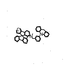 CN(Cc1cccc(N2c3ccccc3Cc3ccccc32)c1)Cc1cccc2c1C1(c3ccccc3-c3ccccc31)c1ccccc1-2